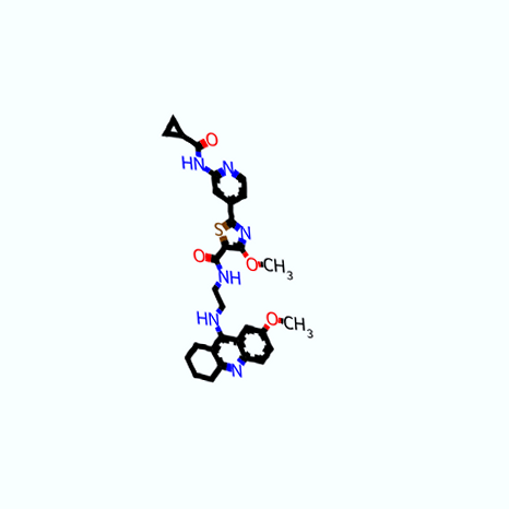 COc1ccc2nc3c(c(NCCNC(=O)c4sc(-c5ccnc(NC(=O)C6CC6)c5)nc4OC)c2c1)CCCC3